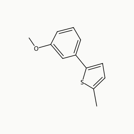 COc1cccc(-c2ccc(C)s2)c1